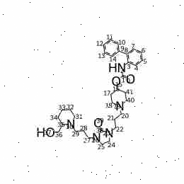 O=C(Nc1ccccc1-c1ccccc1)OC1CCN(CCCN2CCN(CCCN3CCCCC3CO)C2=O)CC1